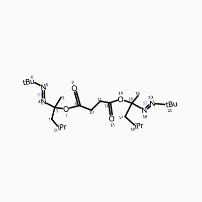 CC(C)CC(C)(/N=N/C(C)(C)C)OC(=O)CCC(=O)OC(C)(CC(C)C)/N=N/C(C)(C)C